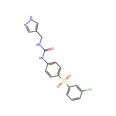 O=C(NCc1cn[nH]c1)Nc1ccc(S(=O)(=O)c2cccc(Cl)c2)cc1